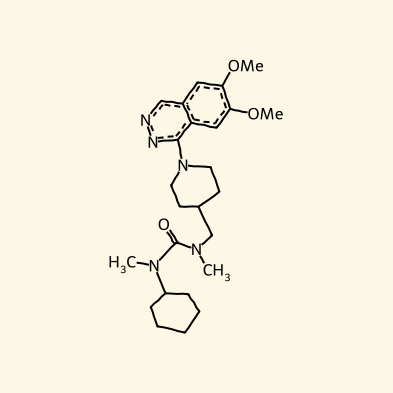 COc1cc2cnnc(N3CCC(CN(C)C(=O)N(C)C4CCCCC4)CC3)c2cc1OC